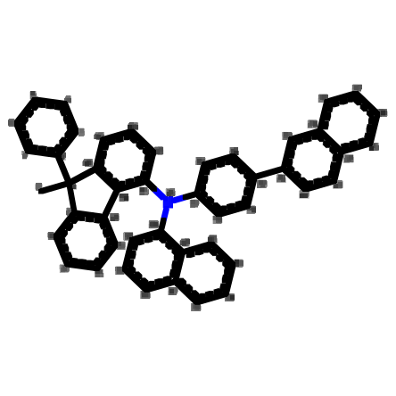 CC1(c2ccccc2)c2ccccc2-c2c(N(c3ccc(-c4ccc5ccccc5c4)cc3)c3cccc4ccccc34)cccc21